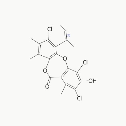 C/C=C(/C)c1c(Cl)c(C)c(C)c2c1Oc1c(Cl)c(O)c(Cl)c(C)c1C(=O)O2